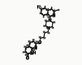 Cc1cc2cc(F)ccc2c(N2CCN(CCCCOc3ccc4ccc(=O)[nH]c4n3)CC2)n1